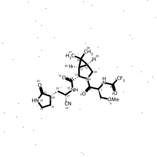 COC[C@H](NC(=O)C(F)(F)F)C(=O)N1C[C@H]2[C@@H]([C@H]1C(=O)N[C@H](C#N)C[C@@H]1CCNC1=O)C2(C)C